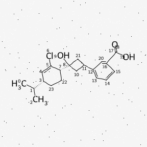 CC(C)[C@@H]1C=C(Cl)[C@H](C2(O)CC(c3cccc(C(=O)O)c3)C2)CC1